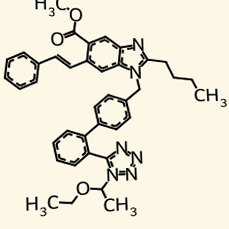 CCCCc1nc2cc(C(=O)OC)c(/C=C/c3ccccc3)cc2n1Cc1ccc(-c2ccccc2-c2nnnn2C(C)OCC)cc1